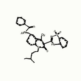 CC(C)CCn1c(=O)c(C2=NS(=O)(=O)c3ccccc3N2)c(O)c2cc(NC(=O)c3ccccc3)ccc21